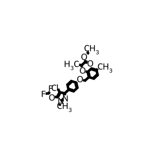 CCOC(=O)C(C)Oc1cc(C)ccc1COc1ccc(-c2nn(C)c(OC(F)F)c2Cl)cc1